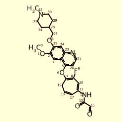 COc1cc2c(OC3=C(F)C=C(NC(=O)C=O)C=CC3)ccnc2cc1OCC1CCN(C)CC1